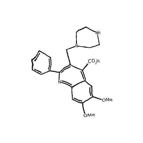 COc1cc2nc(-c3ccccc3)c(CN3CCNCC3)c(C(=O)O)c2cc1OC